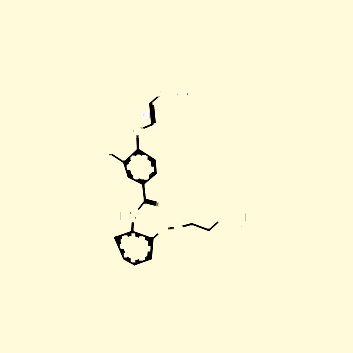 CCCCCC/C=C/Oc1ccc(C(=O)Nc2ccccc2OCCCC(=O)O)cc1Cl